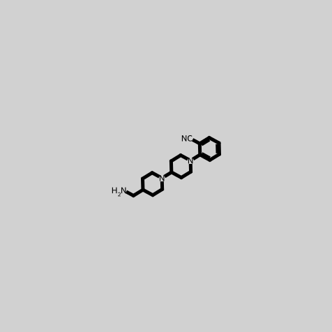 N#Cc1ccccc1N1CCC(N2CCC(CN)CC2)CC1